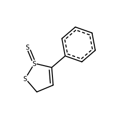 S=S1SCC=C1c1ccccc1